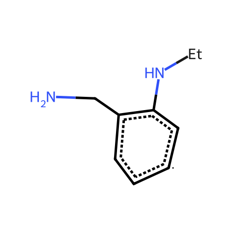 CCNc1c[c]ccc1CN